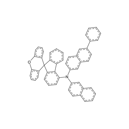 c1ccc(-c2ccc3cc(N(c4ccc5ccccc5c4)c4cccc5c4-c4ccccc4C54c5ccccc5Oc5ccccc54)ccc3c2)cc1